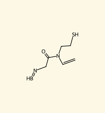 B=NCC(=O)N(C=C)CCS